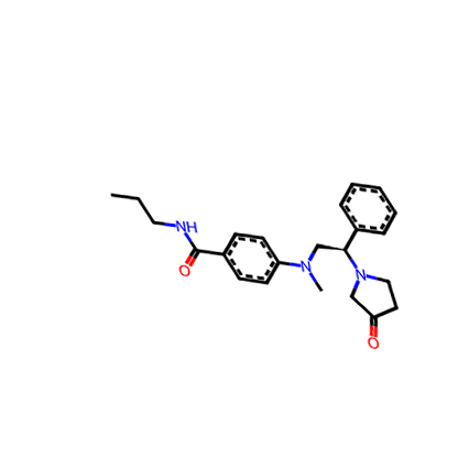 CCCNC(=O)c1ccc(N(C)C[C@@H](c2ccccc2)N2CCC(=O)C2)cc1